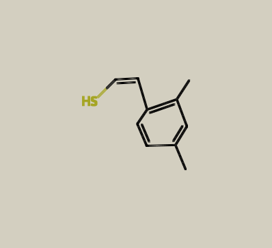 Cc1ccc(/C=C\S)c(C)c1